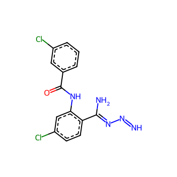 N=N/N=C(\N)c1ccc(Cl)cc1NC(=O)c1cccc(Cl)c1